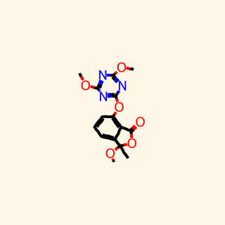 COc1nc(OC)nc(Oc2cccc3c2C(=O)OC3(C)OC)n1